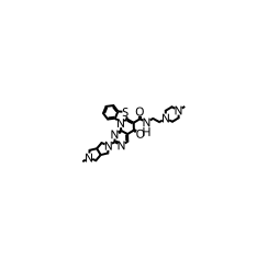 CN1CCN(CCNC(=O)c2c(=O)c3cnc(N4CC5CN(C)CC5C4)nc3n3c2sc2ccccc23)CC1